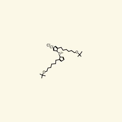 CC(C)(C)OCCCCCCC1=CC=C[CH]1[Ti+2][CH]1C=CC=C1CCCCCCOC(C)(C)C.[Cl-].[Cl-]